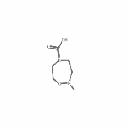 CN1CCN(C(=O)O)CCO1